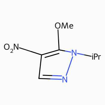 COc1c([N+](=O)[O-])cnn1C(C)C